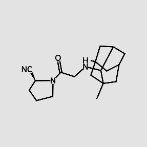 CC12CC3CC(C1)C(NCC(=O)N1CCC[C@H]1C#N)C(C)(C3)C2